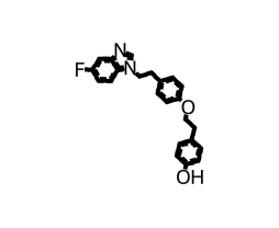 Oc1ccc(CCOc2ccc(CCn3cnc4cc(F)ccc43)cc2)cc1